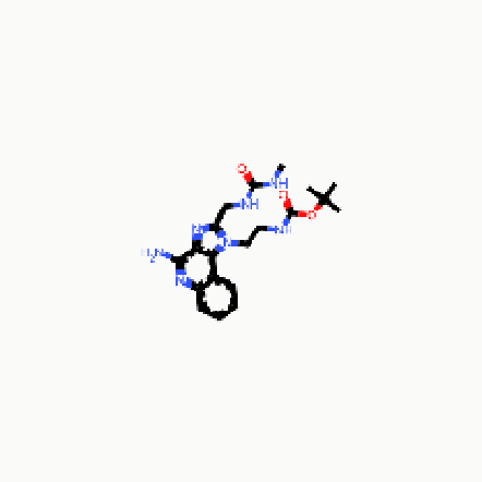 CNC(=O)NCc1nc2c(N)nc3ccccc3c2n1CCNC(=O)OC(C)(C)C